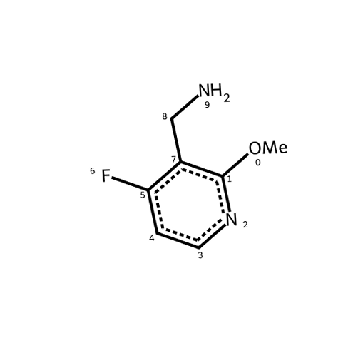 COc1nccc(F)c1CN